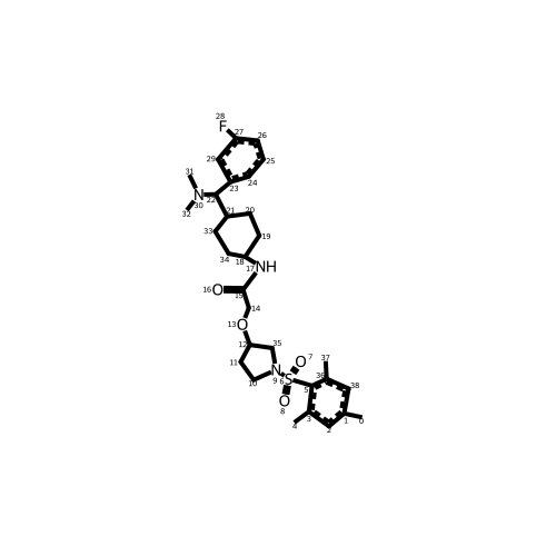 Cc1cc(C)c(S(=O)(=O)N2CCC(OCC(=O)NC3CCC(C(c4cccc(F)c4)N(C)C)CC3)C2)c(C)c1